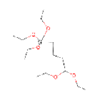 CCOC(CCC[Si](OCC)(OCC)OCC)OCC